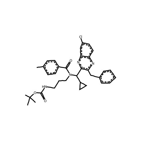 Cc1ccc(C(=O)N(CCCNC(=O)OC(C)(C)C)C(c2nc3cc(Cl)ccc3nc2Cc2ccccc2)C2CC2)cc1